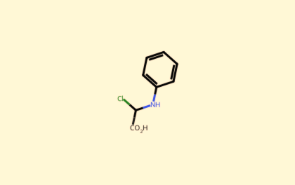 O=C(O)C(Cl)Nc1ccccc1